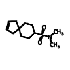 CN(C)S(=O)(=O)C1CCC2(CC=CC2)CC1